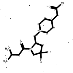 CC(C)CC(=O)N1CC(F)(F)CC1CN1CCC(CC(=O)O)CC1